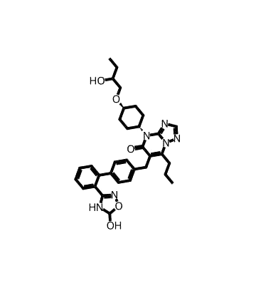 CCCc1c(Cc2ccc(-c3ccccc3C3=NOC(O)N3)cc2)c(=O)n([C@H]2CC[C@H](OCC(O)CC)CC2)c2ncnn12